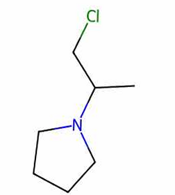 CC(CCl)N1CCCC1